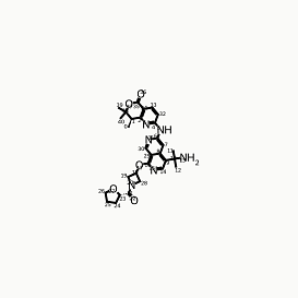 C[C@@H]1c2nc(Nc3cc4c(C(C)(C)N)cnc(OC5CN(C(=O)[C@@H]6CCCO6)C5)c4cn3)ccc2C(=O)OC1(C)C